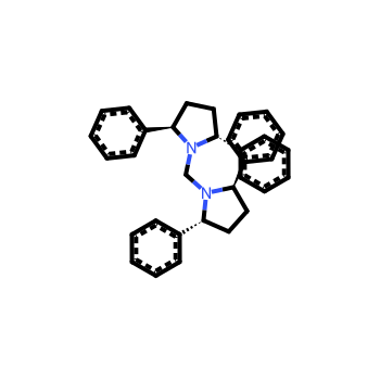 c1ccc([C@H]2CC[C@H](c3ccccc3)N2CN2[C@@H](c3ccccc3)CC[C@@H]2c2ccccc2)cc1